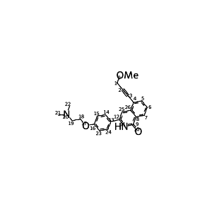 COCC#Cc1cccc2c(=O)[nH]c(-c3ccc(OCCN(C)C)cc3)cc12